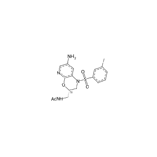 CC(=O)NC[C@H]1CN(S(=O)(=O)c2cccc(C)c2)c2cc(N)cnc2O1